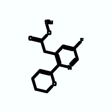 CC(C)(C)OC(=O)Cc1cc(F)cnc1C1=CCCCO1